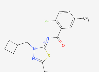 CC(C)(C)c1nn(CC2CCC2)/c(=N/C(=O)c2cc(C(F)(F)F)ccc2F)s1